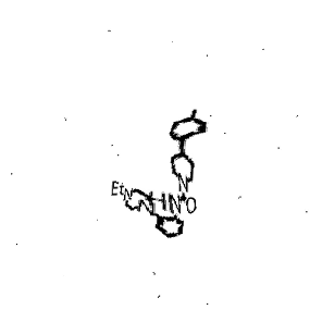 CCN1CCN(c2ccccc2NC(=O)N2CCC(c3ccc(C)cc3)CC2)CC1